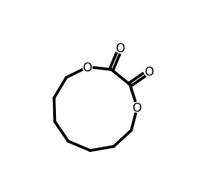 O=C1OCCCCCCCOC1=O